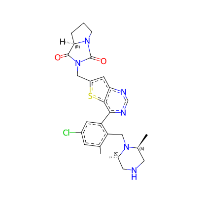 Cc1cc(Cl)cc(-c2ncnc3cc(CN4C(=O)[C@H]5CCCN5C4=O)sc23)c1CN1[C@@H](C)CNC[C@@H]1C